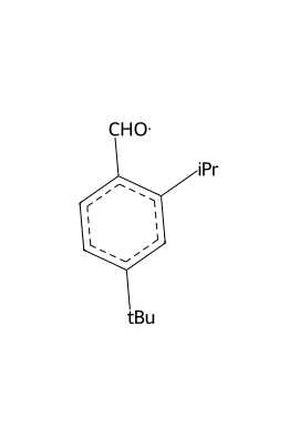 CC(C)c1cc(C(C)(C)C)ccc1[C]=O